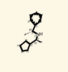 C[C@H](N[C@H](C)c1ccccc1)C1CCCC1